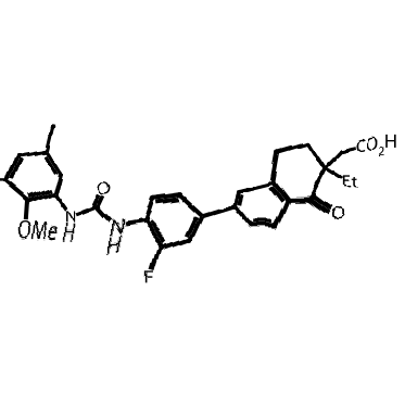 CCC1(CC(=O)O)CCc2cc(-c3ccc(NC(=O)Nc4cc(C)ccc4OC)c(F)c3)ccc2C1=O